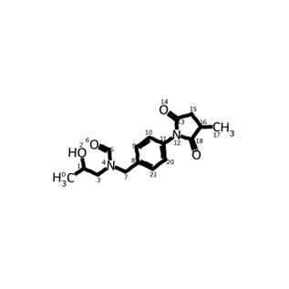 CC(O)CN(C=O)Cc1ccc(N2C(=O)CC(C)C2=O)cc1